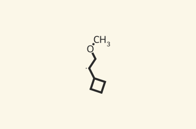 COC[CH]C1CCC1